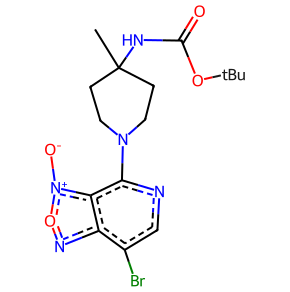 CC1(NC(=O)OC(C)(C)C)CCN(c2ncc(Br)c3no[n+]([O-])c23)CC1